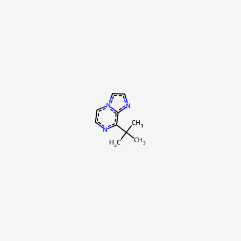 CC(C)(C)c1nccn2ccnc12